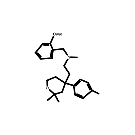 COc1ccccc1CN(C)CCC1(c2ccc(C)cc2)CCOC(C)(C)C1